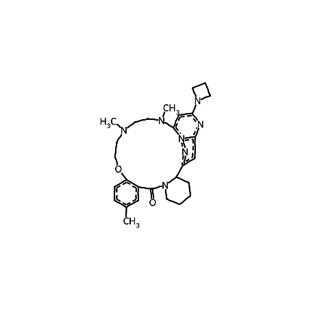 Cc1ccc2c(c1)C(=O)N1CCCCC1c1cc3nc(N4CCC4)cc(n3n1)N(C)CCN(C)CCO2